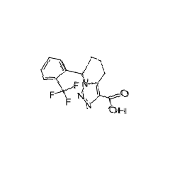 O=C(O)c1nnn2c1CCCC2c1ccccc1C(F)(F)F